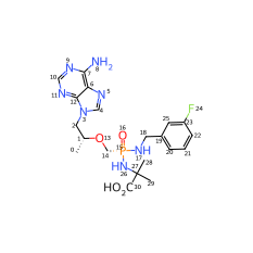 C[C@H](Cn1cnc2c(N)ncnc21)OC[P@](=O)(NCc1cccc(F)c1)NC(C)(C)C(=O)O